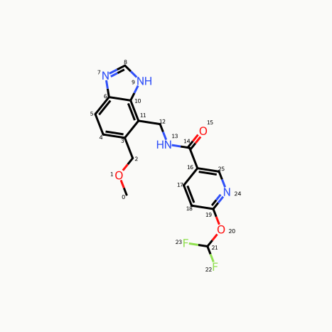 COCc1ccc2nc[nH]c2c1CNC(=O)c1ccc(OC(F)F)nc1